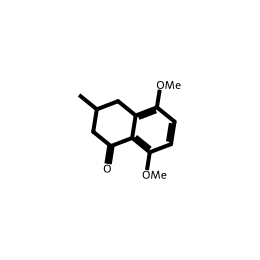 COc1ccc(OC)c2c1CC(C)CC2=O